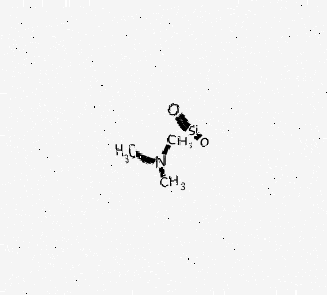 CN(C)C.O=[Si]=O